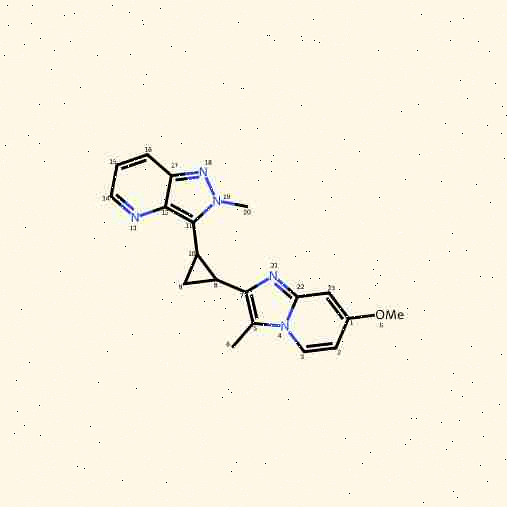 COc1ccn2c(C)c(C3CC3c3c4ncccc4nn3C)nc2c1